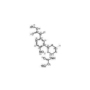 C[C@@H]1C[C@H](NC(=O)OC(C)(C)C)CN(c2cc(N(C)C(=O)OC(C)(C)C)ncc2[N+](=O)[O-])C1